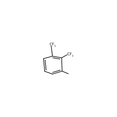 Cc1cccc(C(F)(F)F)c1C(F)(F)F